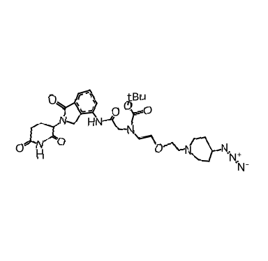 CC(C)(C)OC(=O)N(CCOCCN1CCC(N=[N+]=[N-])CC1)CC(=O)Nc1cccc2c1CN(C1CCC(=O)NC1=O)C2=O